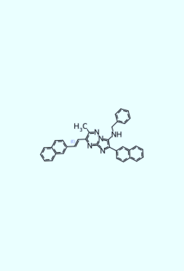 Cc1nn2c(NCc3ccccc3)c(-c3ccc4ccccc4c3)nc2nc1/C=C/c1ccc2ccccc2c1